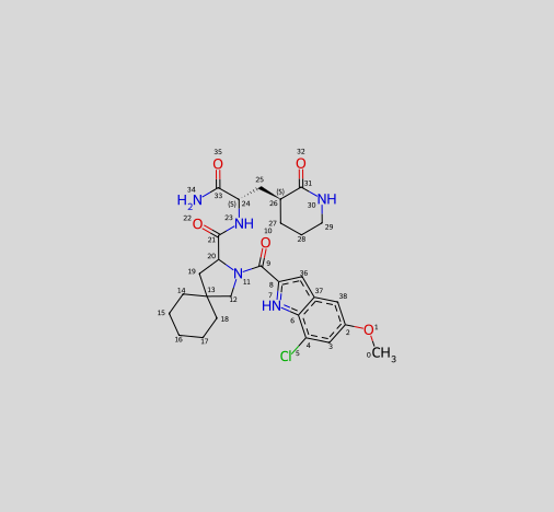 COc1cc(Cl)c2[nH]c(C(=O)N3CC4(CCCCC4)CC3C(=O)N[C@@H](C[C@@H]3CCCNC3=O)C(N)=O)cc2c1